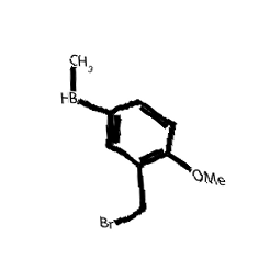 CBc1ccc(OC)c(CBr)c1